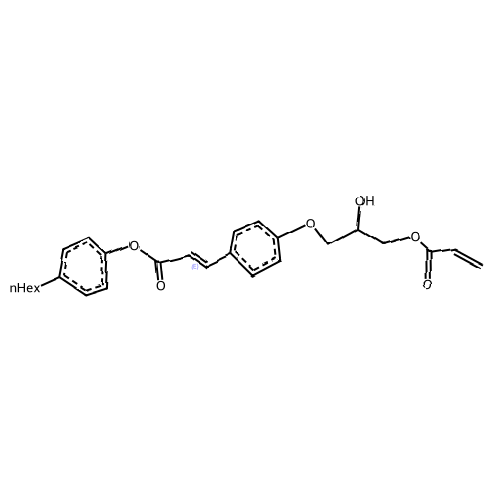 C=CC(=O)OCC(O)COc1ccc(/C=C/C(=O)Oc2ccc(CCCCCC)cc2)cc1